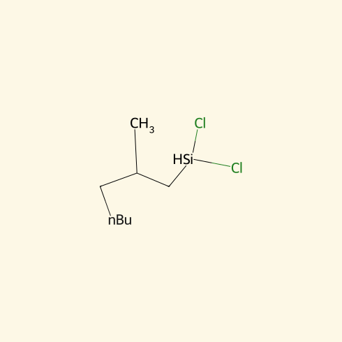 CCCCCC(C)C[SiH](Cl)Cl